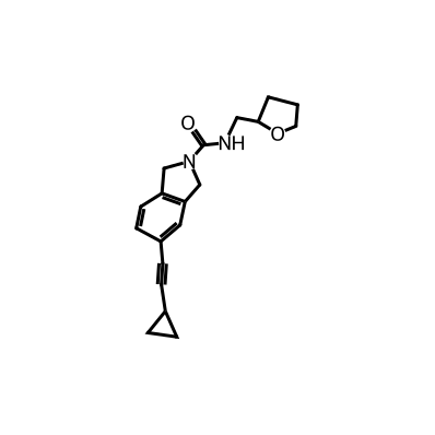 O=C(NCC1CCCO1)N1Cc2ccc(C#CC3CC3)cc2C1